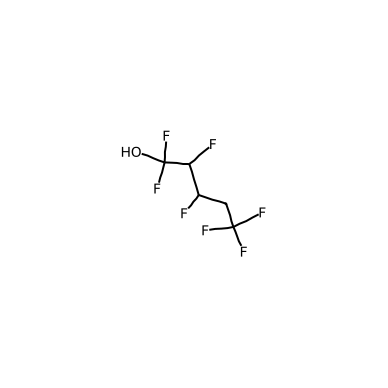 OC(F)(F)C(F)C(F)CC(F)(F)F